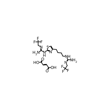 NC(=NCC(F)(F)F)NCCCCc1csc(NC(N)=NCC(F)(F)F)n1.O=C(O)C=CC(=O)O